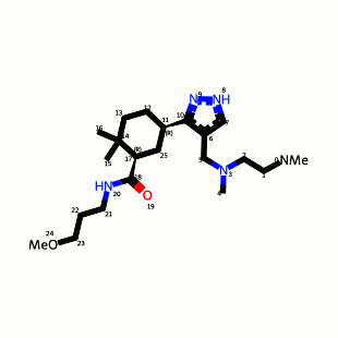 CNCCN(C)Cc1c[nH]nc1[C@@H]1CCC(C)(C)[C@H](C(=O)NCCCOC)C1